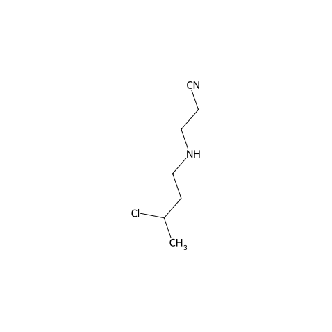 CC(Cl)CCNCCC#N